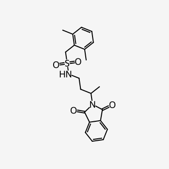 Cc1cccc(C)c1CS(=O)(=O)NCCC(C)N1C(=O)c2ccccc2C1=O